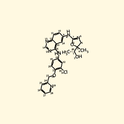 C[C@@H](O)C1(C)CN=C(Nc2ccc3ncnc(Nc4ccc(OCc5ccccn5)c(Cl)c4)c3c2)O1